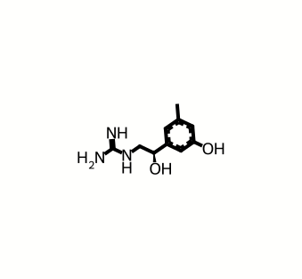 Cc1cc(O)cc([C@@H](O)CNC(=N)N)c1